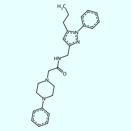 CCCc1cc(CNC(=O)CN2CCN(c3ccccc3)CC2)nn1-c1ccccc1